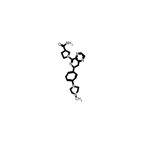 CN1CCN(C2=CCC=C(C3Cc4nccnc4C(N4CCC(C(N)=O)C4)=N3)C=C2)CC1